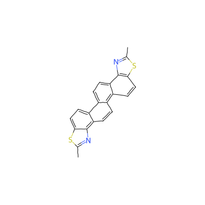 Cc1nc2c(ccc3c4ccc5c(ccc6sc(C)nc65)c4ccc32)s1